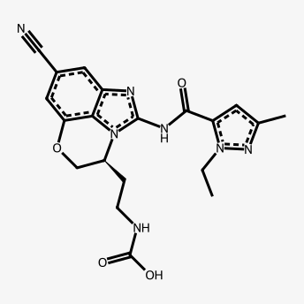 CCn1nc(C)cc1C(=O)Nc1nc2cc(C#N)cc3c2n1[C@@H](CCNC(=O)O)CO3